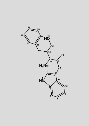 C[C](Cc1c[nH]c2ccccc12)C(N)C(CO)Cc1ccccc1